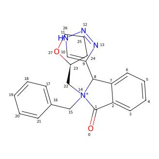 O=C1c2ccccc2C(c2c[nH]nn2)[N+]1(Cc1ccccc1)C[C@@H]1CCCO1